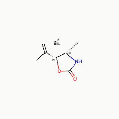 C=C(C)[C@H]1OC(=O)N[C@]1(C)[C@H](C)CC